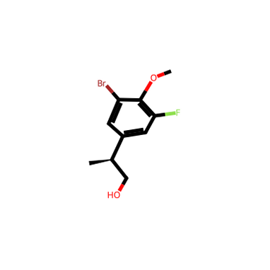 COc1c(F)cc([C@H](C)CO)cc1Br